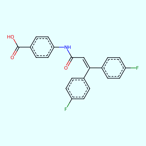 O=C(C=C(c1ccc(F)cc1)c1ccc(F)cc1)Nc1ccc(C(=O)O)cc1